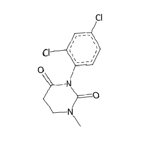 CN1CCC(=O)N(c2ccc(Cl)cc2Cl)C1=O